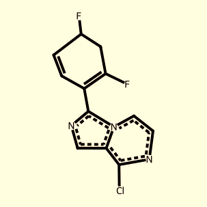 FC1=C(c2ncc3c(Cl)nccn23)C=CC(F)C1